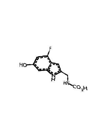 O=C(O)NCc1cc2c(F)cc(O)cc2[nH]1